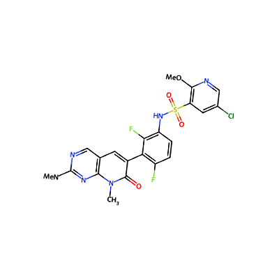 CNc1ncc2cc(-c3c(F)ccc(NS(=O)(=O)c4cc(Cl)cnc4OC)c3F)c(=O)n(C)c2n1